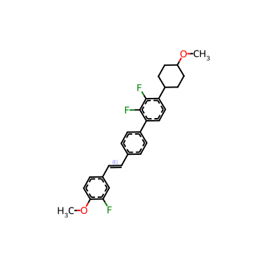 COc1ccc(/C=C/c2ccc(-c3ccc(C4CCC(OC)CC4)c(F)c3F)cc2)cc1F